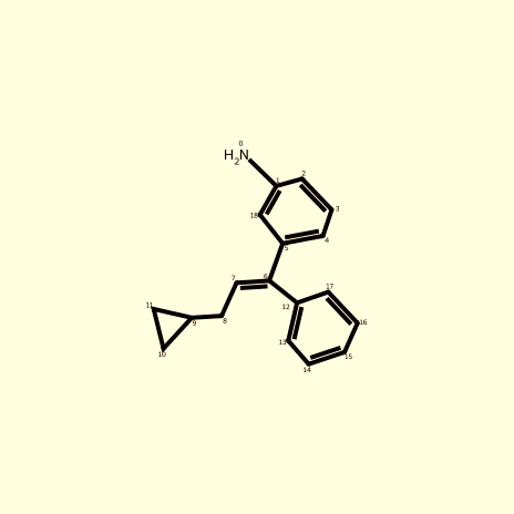 Nc1cccc(C(=CCC2CC2)c2ccccc2)c1